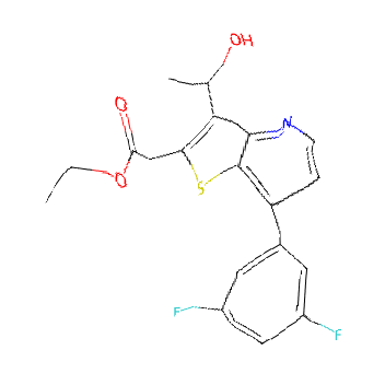 CCOC(=O)c1sc2c(-c3cc(F)cc(F)c3)ccnc2c1C(C)O